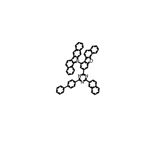 c1ccc(-c2ccc(-c3nc(-c4ccc5ccccc5c4)nc(-c4cc(-n5c6cc7ccccc7cc6c6ccc7ccccc7c65)c5c(c4)oc4c6ccccc6ccc45)n3)cc2)cc1